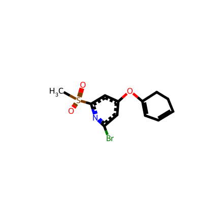 CS(=O)(=O)c1cc(OC2=CC=CCC2)cc(Br)n1